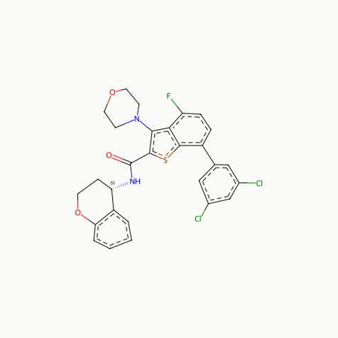 O=C(N[C@H]1CCOc2ccccc21)c1sc2c(-c3cc(Cl)cc(Cl)c3)ccc(F)c2c1N1CCOCC1